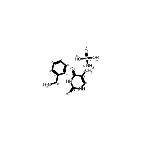 Cc1c[nH]c(=O)[nH]c1=O.NCc1ccccc1.NP(=O)(O)O